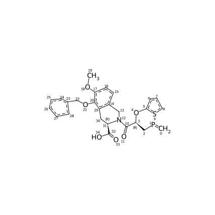 C=PC[C@H](Oc1cccs1)C(=O)N1Cc2ccc(OC)c(OCc3ccccc3)c2C[C@@H]1C(=O)O